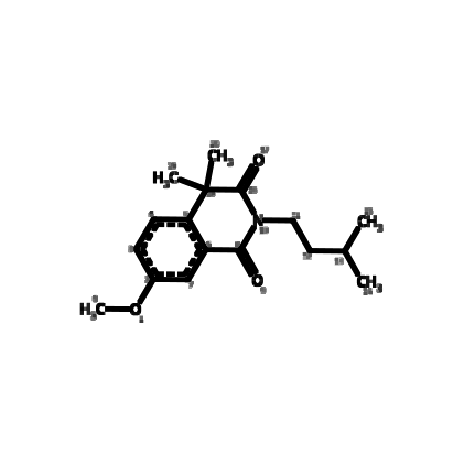 COc1ccc2c(c1)C(=O)N(CCC(C)C)C(=O)C2(C)C